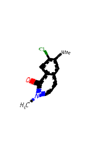 CNc1cc2ccn(C)c(=O)c2cc1Cl